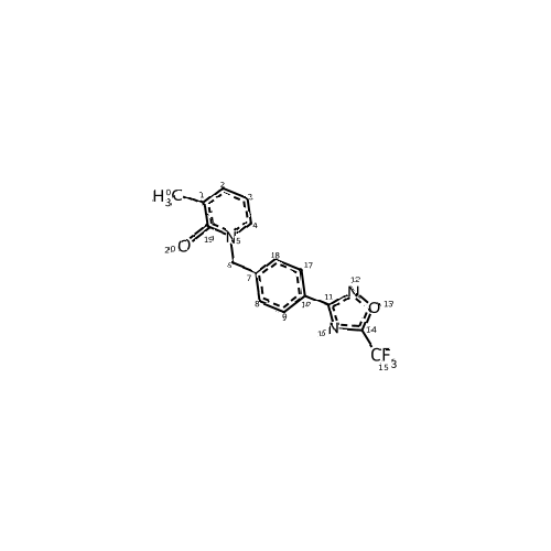 Cc1cccn(Cc2ccc(-c3noc(C(F)(F)F)n3)cc2)c1=O